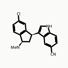 CN[C@@H]1C[C@H](c2c[nH]c3ccc(C#N)cc23)c2cc(Cl)ccc21